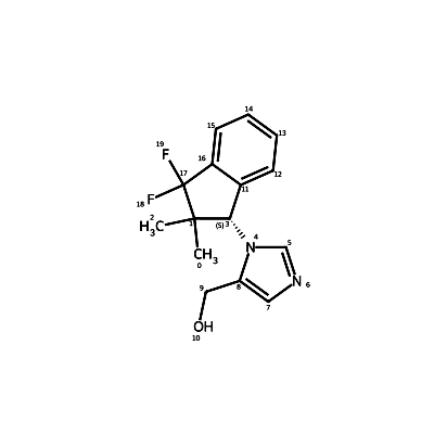 CC1(C)[C@@H](n2cncc2CO)c2ccccc2C1(F)F